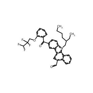 CCCCC(CC)Cn1c2ccc(C(=O)c3ccccc3OCC(F)(F)C(F)F)cc2c2cc(C=O)c3ccccc3c21